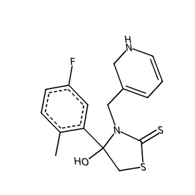 Cc1ccc(F)cc1C1(O)CSC(=S)N1CC1=CC=CNC1